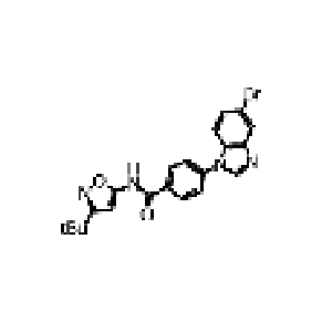 CC(C)(C)c1cc(NC(=O)c2ccc(-n3cnc4cc(Br)ccc43)cc2)on1